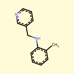 Cc1ccccc1NCc1cccnc1